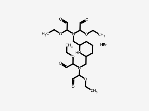 Br.CCOC(C=O)N(CC1CCCC(CN(C(C=O)OCC)C(C=O)OCC)N1)C(C=O)OCC